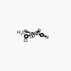 COCCN(CC(=O)N1CC(=O)N(c2ccc(C#N)cc2)C1)C(=O)c1cccc(Cl)c1